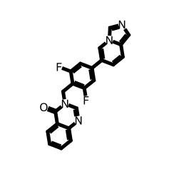 O=c1c2ccccc2ncn1Cc1c(F)cc(-c2ccc3cncn3c2)cc1F